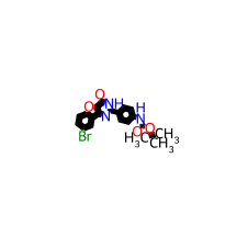 CC(C)(C)OC(=O)Nc1ccc(-c2nc3c(oc4ccc(Br)cc43)c(=O)[nH]2)cc1